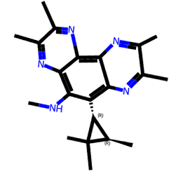 CNc1c([C@@H]2[C@@H](C)C2(C)C)c2nc(C)c(C)nc2c2nc(C)c(C)nc12